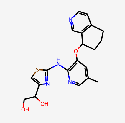 Cc1cnc(Nc2nc(C(O)CO)cs2)c(OC2CCCc3ccncc32)c1